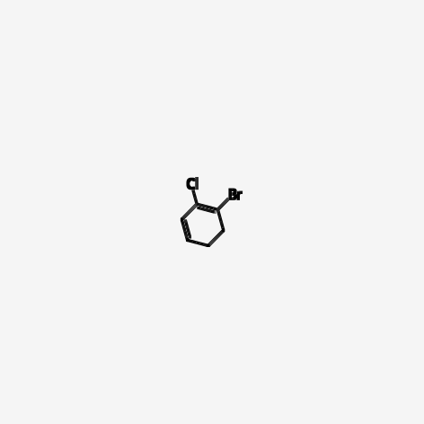 ClC1=C(Br)CCC=C1